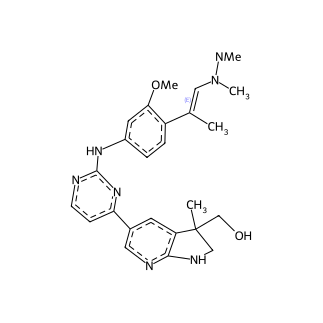 CNN(C)/C=C(\C)c1ccc(Nc2nccc(-c3cnc4c(c3)C(C)(CO)CN4)n2)cc1OC